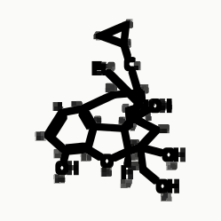 CC[N+]1(CC2CC2)CCC23c4c5ccc(O)c4O[C@H]2C(O)(CO)CC3(O)C1C5